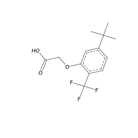 CC(C)(C)c1ccc(C(F)(F)F)c(OCC(=O)O)c1